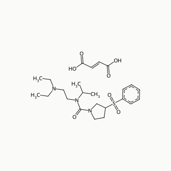 CCN(CC)CCN(C(=O)N1CCC(S(=O)(=O)c2ccccc2)C1)C(C)C.O=C(O)C=CC(=O)O